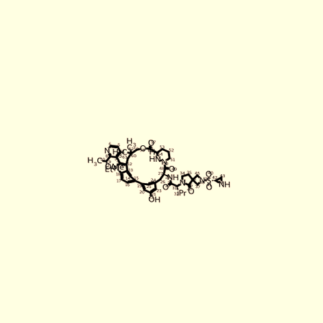 CCn1c(-c2cccnc2[C@H](C)OC)c2c3cc(ccc31)-c1cc(O)cc(c1)C[C@H](NC(=O)[C@H](C(C)C)N1CCC3(CN(S(=O)(=O)[C@@H]4CN4)C3)C1=O)C(=O)N1CCC[C@H](N1)C(=O)OCC(C)(C)C2